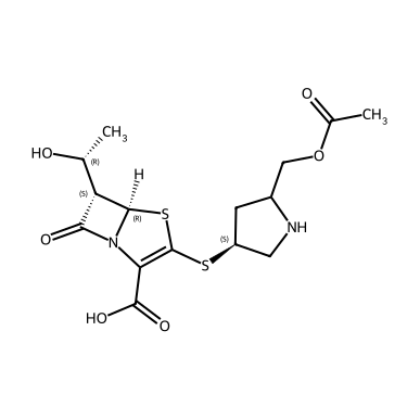 CC(=O)OCC1C[C@H](SC2=C(C(=O)O)N3C(=O)[C@H]([C@@H](C)O)[C@H]3S2)CN1